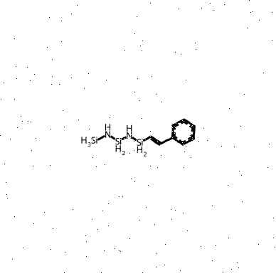 [SiH3]N[SiH2]N[SiH2]C=Cc1ccccc1